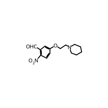 O=Cc1cc(OCCN2CCCCC2)ccc1[N+](=O)[O-]